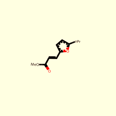 CCCc1ccc(C=CC(=O)OC)o1